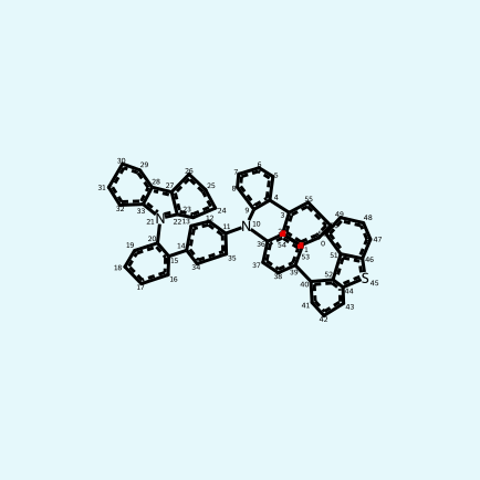 c1ccc(-c2ccccc2N(c2ccc(-c3ccccc3-n3c4ccccc4c4ccccc43)cc2)c2ccc(-c3cccc4sc5ccccc5c34)cc2)cc1